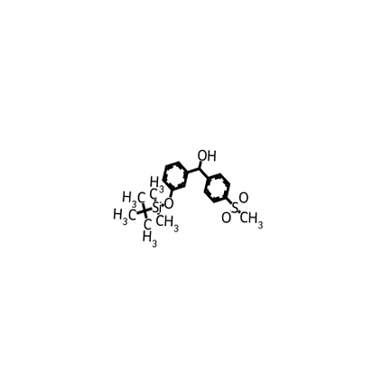 CC(C)(C)[Si](C)(C)Oc1cccc(C(O)c2ccc(S(C)(=O)=O)cc2)c1